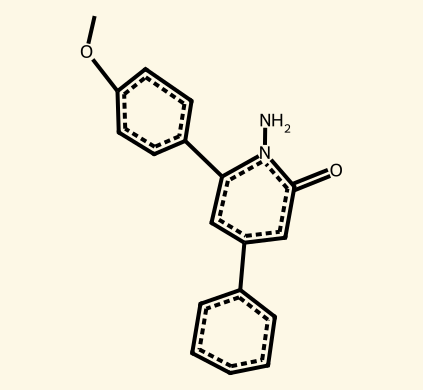 COc1ccc(-c2cc(-c3ccccc3)cc(=O)n2N)cc1